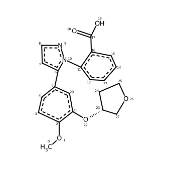 COc1ccc(-c2ccnn2-c2ccccc2C(=O)O)cc1O[C@@H]1CCOC1